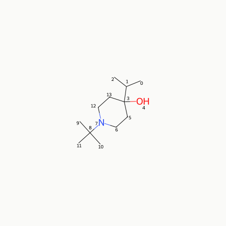 CC(C)C1(O)CCN(C(C)(C)C)CC1